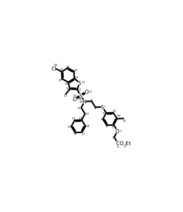 CCOC(=O)COc1ccc(SCCN(CCc2ccccc2)S(=O)(=O)c2sc3ccc(Cl)cc3c2C)cc1C